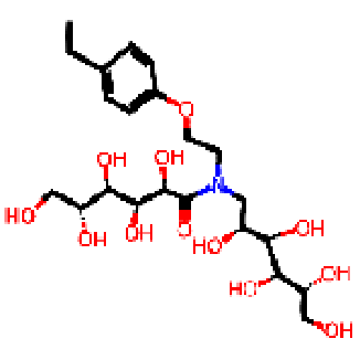 CCc1ccc(OCCN(C[C@H](O)[C@@H](O)[C@H](O)[C@H](O)CO)C(=O)[C@H](O)[C@@H](O)[C@H](O)[C@H](O)CO)cc1